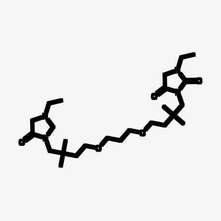 CCN1CC(=O)N(CC(C)(C)CCOCCCOCCC(C)(C)CN2C(=O)CN(CC)C2=O)C1